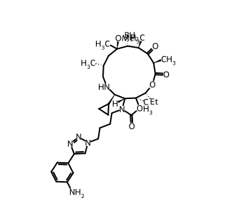 B[C@@H]1[C@@H](C)C(=O)[C@@H](C)C(=O)O[C@H](CC)[C@@]2(C)OC(=O)N(CCCCn3cc(-c4cccc(N)c4)nn3)[C@@H]2[C@@H](C2CC2)NC[C@H](C)C[C@@]1(C)OC